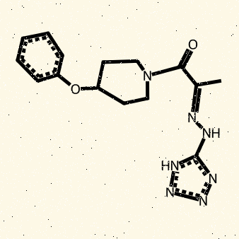 CC(=NNc1nnn[nH]1)C(=O)N1CCC(Oc2ccccc2)CC1